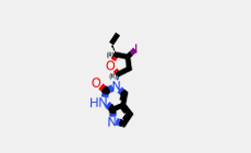 CC[C@H]1O[C@@H](n2cc3ccnc-3[nH]c2=O)CC1I